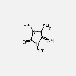 CCCN1C(=N)C(C)N(CCC)C1=O